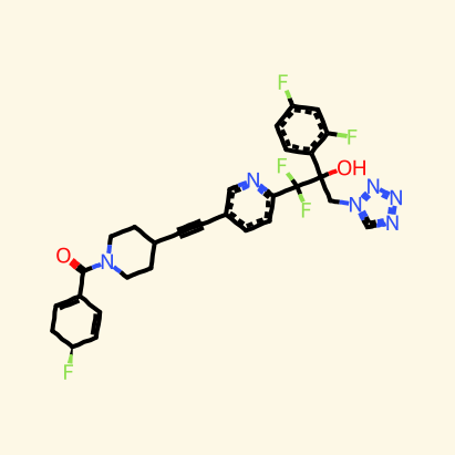 O=C(C1=CC[C@H](F)C=C1)N1CCC(C#Cc2ccc(C(F)(F)C(O)(Cn3cnnn3)c3ccc(F)cc3F)nc2)CC1